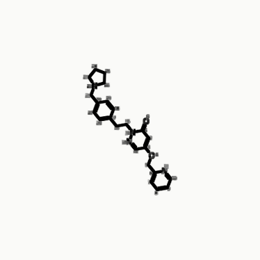 O=c1cc(OCc2ccccn2)cnn1CCc1ccc(CN2CCCC2)cc1